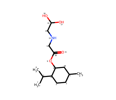 CC1CCC(C(C)C)C(OC(=O)CNCC(O)O)C1